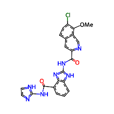 COc1c(Cl)ccc2cc(C(=O)Nc3nc4c(C(=O)Nc5ncc[nH]5)cccc4[nH]3)ncc12